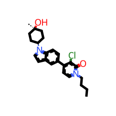 CCCCn1ccc(-c2ccc3c(ccn3[C@H]3CC[C@](C)(O)CC3)c2)c(Cl)c1=O